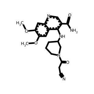 COc1cc2ncc(C(N)=O)c(NC3CCCN(C(=O)CC#N)C3)c2cc1OC